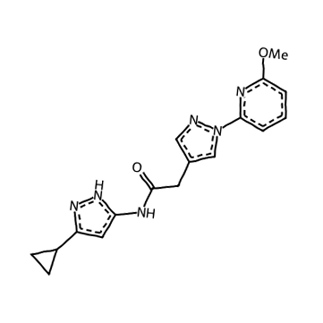 COc1cccc(-n2cc(CC(=O)Nc3cc(C4CC4)n[nH]3)cn2)n1